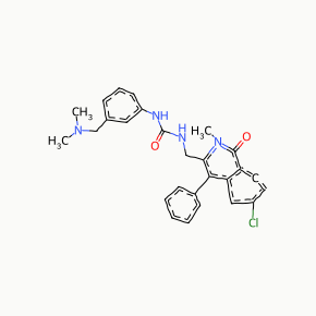 CN(C)Cc1cccc(NC(=O)NCc2c(-c3ccccc3)c3cc(Cl)ccc3c(=O)n2C)c1